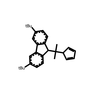 CC(C)(C)c1ccc2c(c1)-c1cc(C(C)(C)C)ccc1C2C(C)(C)C1C=CC=C1